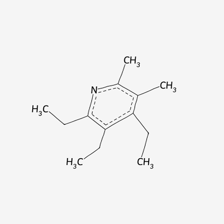 CCc1nc(C)c(C)c(CC)c1CC